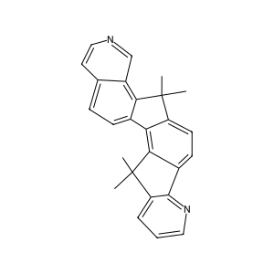 CC1(C)c2cccnc2-c2ccc3c(c21)-c1ccc2ccncc2c1C3(C)C